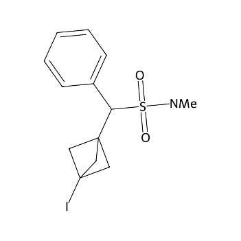 CNS(=O)(=O)C(c1ccccc1)C12CC(I)(C1)C2